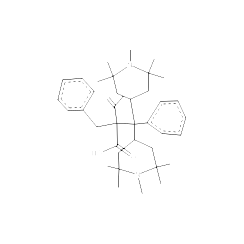 CN1C(C)(C)CC(C(c2ccccc2)(C2CC(C)(C)N(C)C(C)(C)C2)C(Cc2ccccc2)(C(=O)O)C(=O)O)CC1(C)C